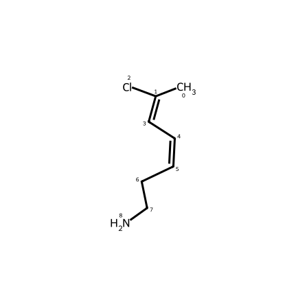 C/C(Cl)=C\C=C/CCN